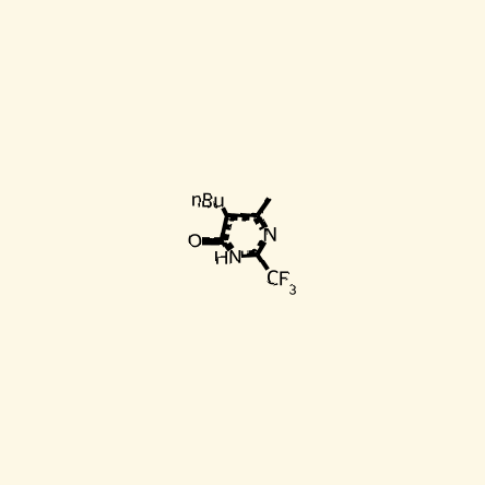 CCCCc1c(C)nc(C(F)(F)F)[nH]c1=O